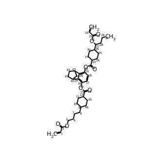 C=CC(=O)OCCCCC1CCC(C(=O)Oc2ccc(OC(=O)C3CCC(C(CCC)OC(=O)C=C)CC3)c3c2C2CCC3C2)CC1